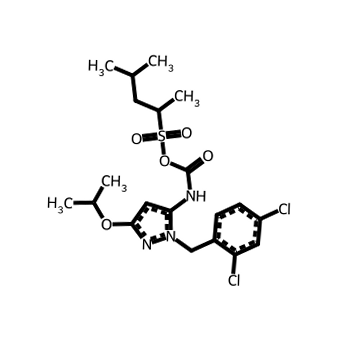 CC(C)CC(C)S(=O)(=O)OC(=O)Nc1cc(OC(C)C)nn1Cc1ccc(Cl)cc1Cl